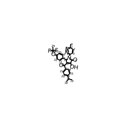 Cc1ccc(N2C(=O)C(O)=C(C(=O)c3ccc(C(C)C)cc3)C2c2ccc(OC(C)(F)F)cc2)nn1